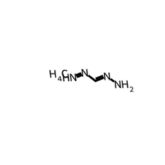 C.N=NC=NN